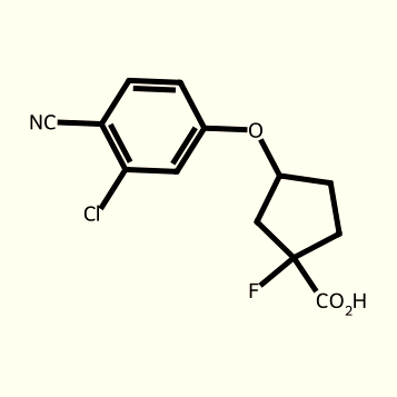 N#Cc1ccc(OC2CCC(F)(C(=O)O)C2)cc1Cl